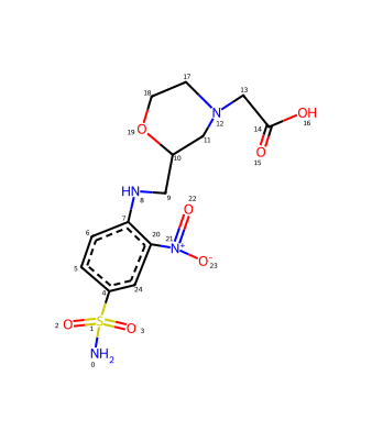 NS(=O)(=O)c1ccc(NCC2CN(CC(=O)O)CCO2)c([N+](=O)[O-])c1